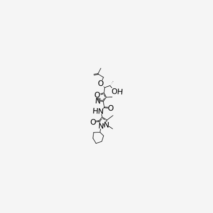 C=C(C)CO[C@@H](c1onc(C(=O)Nc2c(C)n(C)n(C3CCCCC3)c2=O)c1C)[C@H](C)O